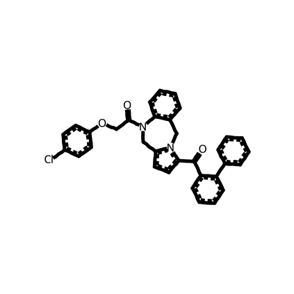 O=C(c1ccccc1-c1ccccc1)c1ccc2n1Cc1ccccc1N(C(=O)COc1ccc(Cl)cc1)C2